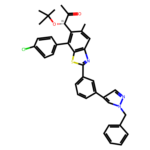 CC(=O)[C@@H](OC(C)(C)C)c1c(C)cc2nc(-c3cccc(-c4cnn(Cc5ccccc5)c4)c3)sc2c1-c1ccc(Cl)cc1